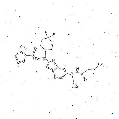 Cc1cnoc1C(=O)N[C@H](c1cn2ncc([C@H](NC(=O)CCC(F)(F)F)C3CC3)cc2n1)C1CCC(F)(F)CC1